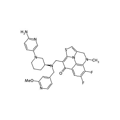 COc1cc(CN(Cc2c(=O)c3cc(F)c(F)c4c3n3c(csc23)CN4C)[C@H]2CCCN(c3ccc(N)nc3)C2)ccn1